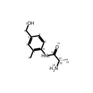 Cc1cc(CO)ccc1NC(=O)[C@H](C)N